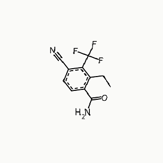 CCc1c(C(N)=O)ccc(C#N)c1C(F)(F)F